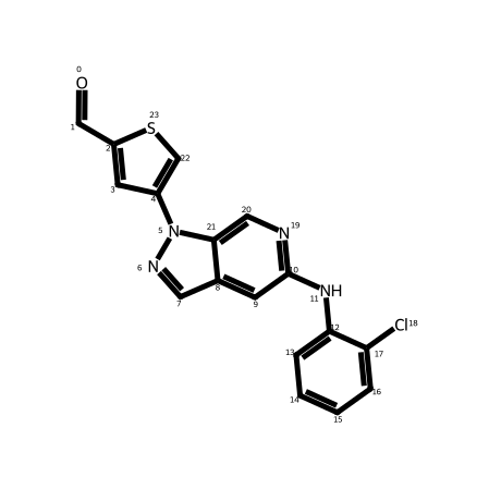 O=Cc1cc(-n2ncc3cc(Nc4ccccc4Cl)ncc32)cs1